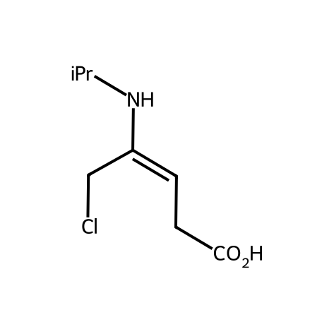 CC(C)NC(=CCC(=O)O)CCl